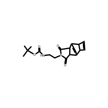 CC(C)(C)OC(=O)NCCN1C(=O)C2C3C=CC(C4C=CC43)C2C1=O